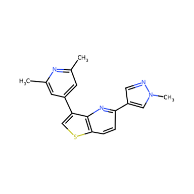 Cc1cc(-c2csc3ccc(-c4cnn(C)c4)nc23)cc(C)n1